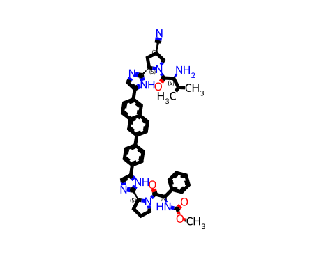 COC(=O)N[C@@H](C(=O)N1CCC[C@H]1c1ncc(-c2ccc(-c3ccc4cc(-c5cnc([C@@H]6C[C@@H](C#N)CN6C(=O)[C@@H](N)C(C)C)[nH]5)ccc4c3)cc2)[nH]1)c1ccccc1